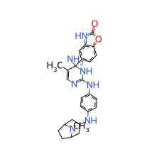 CC1=CN=C(Nc2ccc(NC3CC4CCC(C3)N4C)cc2)NC1(N)c1ccc2oc(=O)[nH]c2c1